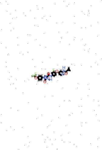 Cn1c(C(=O)Nc2ccc(Oc3ccnc(NC(=O)C4CC4)c3)c(F)c2)nn(-c2ccc(OC(F)F)cc2)c1=O